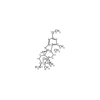 COc1cc(C)c2c(c1)C[C@H]1[C@]3(C)CC[C@H](N)C(C)(C)[C@H]3CC[C@]21C